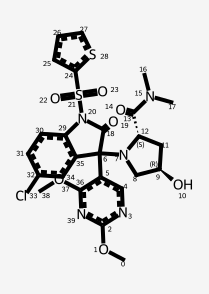 COc1ncc(C2(N3C[C@H](O)C[C@H]3C(=O)N(C)C)C(=O)N(S(=O)(=O)c3cccs3)c3ccc(Cl)cc32)c(OC)n1